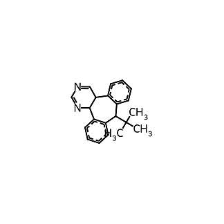 CC(C)(C)C1c2ccccc2C2C=NC=NC2c2ccccc21